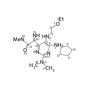 CCOCCNc1c(NC2CCCC2)nc(N(C)C)nc1C(=N)C(=O)NC